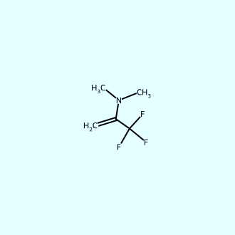 C=C(N(C)C)C(F)(F)F